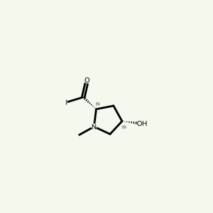 CN1C[C@@H](O)C[C@H]1C(=O)I